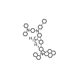 CC1(C)c2cc(-c3ccc4c(c3)c3c5ccc6cccc7ccc(cc3n4-c3cccc4ccccc34)c5c76)ccc2-c2ccc(N(c3ccc(-c4ccccc4)cc3)c3ccc(N(c4ccccc4)c4ccccc4)cc3)cc21